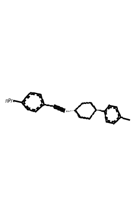 CCCc1ccc(C#C[C@H]2CC[C@H](c3ccc(C)cc3)CC2)cc1